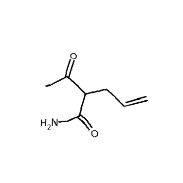 C=CCC(C(C)=O)C(N)=O